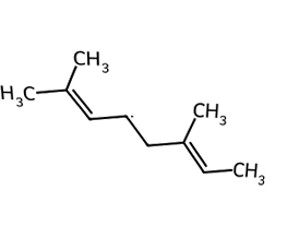 C/C=C(\C)C[CH]C=C(C)C